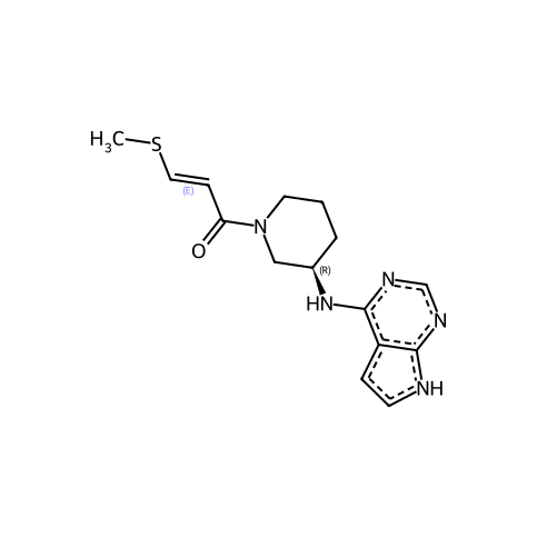 CS/C=C/C(=O)N1CCC[C@@H](Nc2ncnc3[nH]ccc23)C1